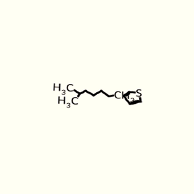 CCCCCC(C)C.c1ccsc1